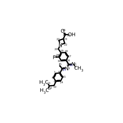 C/N=C(\N=C(/I)c1ccc(CC(C)C)cc1)c1ccc(CN2CC(C(=O)O)C2)c(F)c1